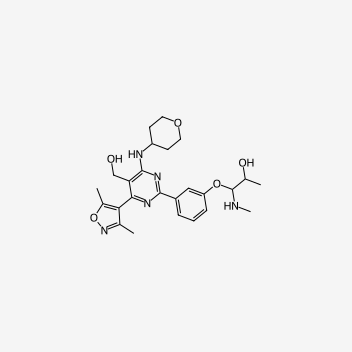 CNC(Oc1cccc(-c2nc(NC3CCOCC3)c(CO)c(-c3c(C)noc3C)n2)c1)C(C)O